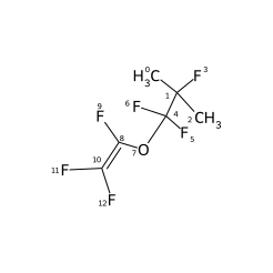 CC(C)(F)C(F)(F)OC(F)=C(F)F